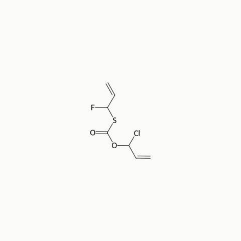 C=CC(Cl)OC(=O)SC(F)C=C